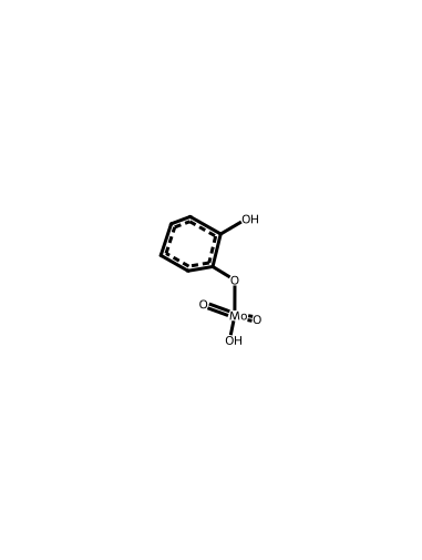 [O]=[Mo](=[O])([OH])[O]c1ccccc1O